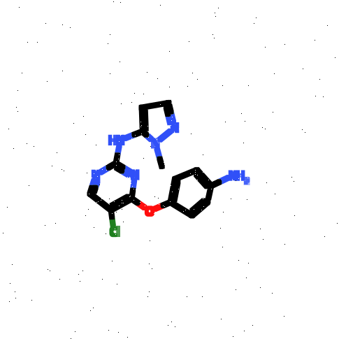 Cn1nccc1Nc1ncc(Cl)c(Oc2ccc(N)cc2)n1